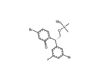 CC(C)(C)[Si](C)(C)OC[C@H](c1cc(F)cc(Br)c1)n1ccc(Br)cc1=O